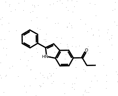 CCC(=O)c1ccc2[nH]c(-c3ccccc3)cc2c1